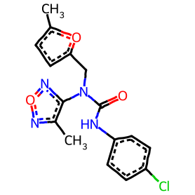 Cc1ccc(CN(C(=O)Nc2ccc(Cl)cc2)c2nonc2C)o1